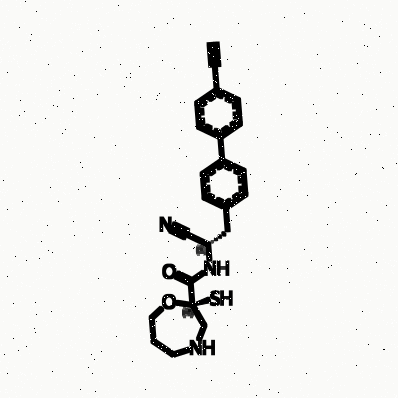 C#Cc1ccc(-c2ccc(C[C@@H](C#N)NC(=O)[C@]3(S)CNCCCO3)cc2)cc1